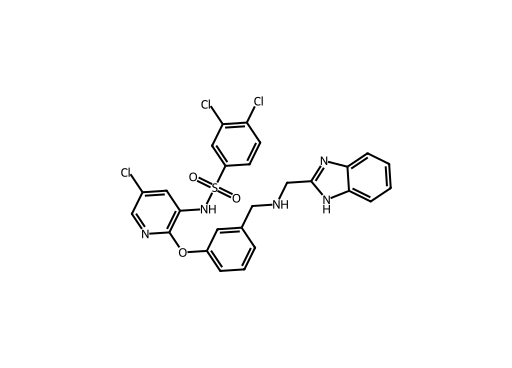 O=S(=O)(Nc1cc(Cl)cnc1Oc1cccc(CNCc2nc3ccccc3[nH]2)c1)c1ccc(Cl)c(Cl)c1